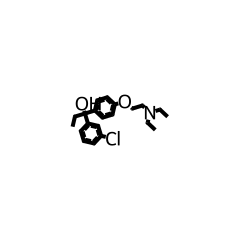 CCN(CC)CCOc1ccc(C(O)(CC)c2cccc(Cl)c2)cc1